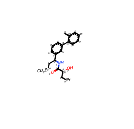 CCOC(=O)CC(NC(=O)[C@H](O)CC(C)C)c1cccc(-c2ccccc2C)c1